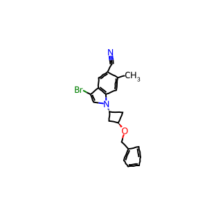 Cc1cc2c(cc1C#N)c(Br)cn2[C@H]1C[C@H](OCc2ccccc2)C1